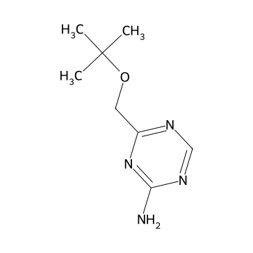 CC(C)(C)OCc1ncnc(N)n1